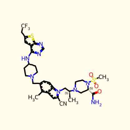 Cc1c(CN2CCC(Nc3ncnc4sc(CC(F)(F)F)cc34)CC2)ccc2c1cc(C#N)n2C[C@H](C)N1CCN(S(C)(=O)=O)[C@H](C(N)=O)C1